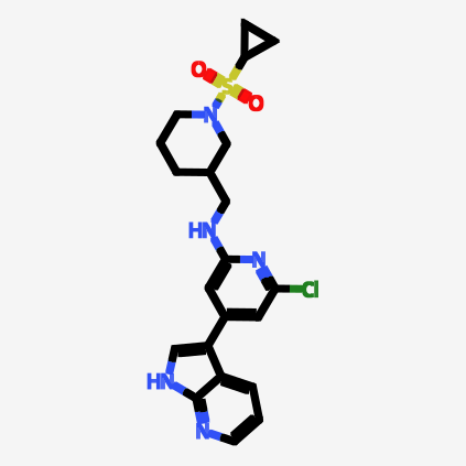 O=S(=O)(C1CC1)N1CCCC(CNc2cc(-c3c[nH]c4ncccc34)cc(Cl)n2)C1